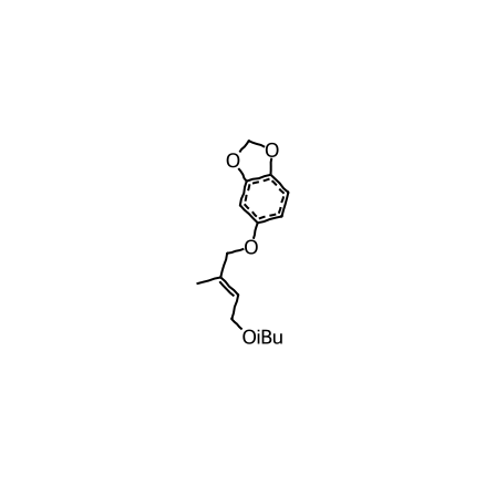 CC(=CCOCC(C)C)COc1ccc2c(c1)OCO2